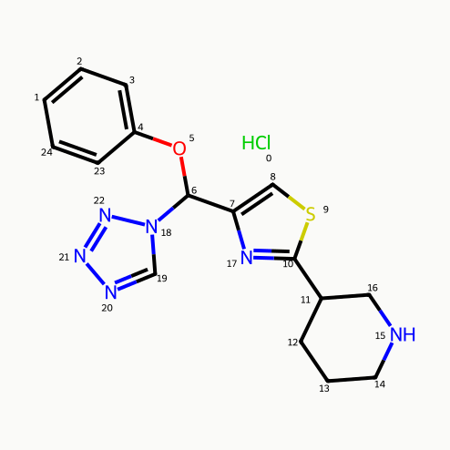 Cl.c1ccc(OC(c2csc(C3CCCNC3)n2)n2cnnn2)cc1